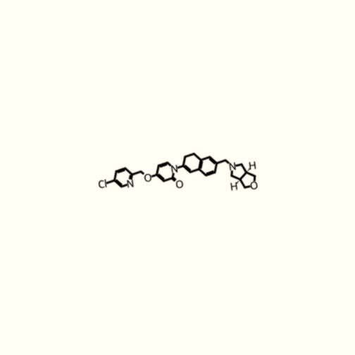 O=c1cc(OCc2ccc(Cl)cn2)ccn1C1=Cc2ccc(CN3C[C@H]4COC[C@H]4C3)cc2CC1